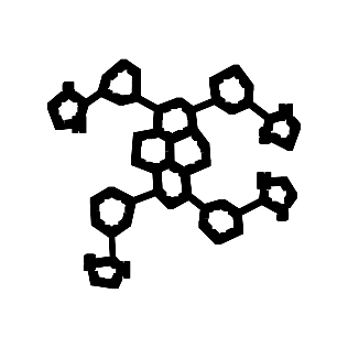 c1cc(-c2nccs2)cc(-c2cc(-c3cccc(-c4nccs4)c3)c3ccc4c(-c5cccc(-c6nccs6)c5)cc(-c5cccc(-c6nccs6)c5)c5ccc2c3c54)c1